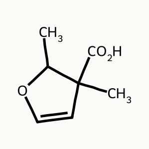 CC1OC=CC1(C)C(=O)O